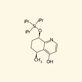 CC(C)[Si](O[C@@H]1CC[C@H](C)c2c(O)ccnc21)(C(C)C)C(C)C